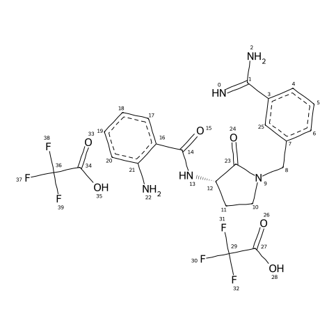 N=C(N)c1cccc(CN2CC[C@H](NC(=O)c3ccccc3N)C2=O)c1.O=C(O)C(F)(F)F.O=C(O)C(F)(F)F